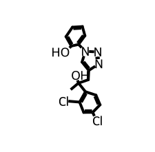 CC(O)(Cc1cn(-c2ccccc2O)nn1)c1ccc(Cl)cc1Cl